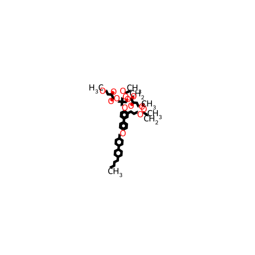 C=C(C)C(=O)OCCCc1cc(-c2ccc(OCC3CCC(C4CCC(CCCCC)CC4)CC3)cc2)ccc1OCC(COC(=O)C(=C)C)(COC(=O)C(=O)CCOC)COC(=O)C(=O)CCOC